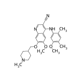 COc1cc(Nc2c(C#N)cnc3cc(OCC4CCN(C)CC4)c(OC)cc23)c(C)cc1C